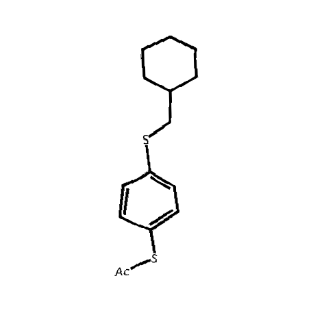 CC(=O)Sc1ccc(SCC2CCCCC2)cc1